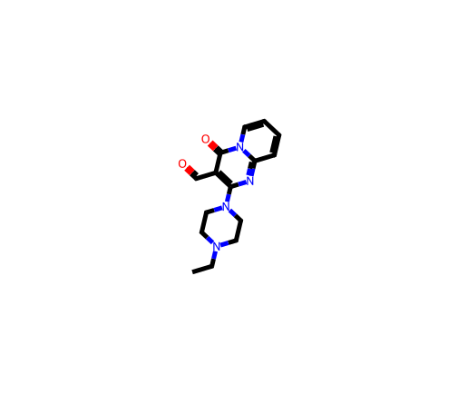 CCN1CCN(c2nc3ccccn3c(=O)c2C=O)CC1